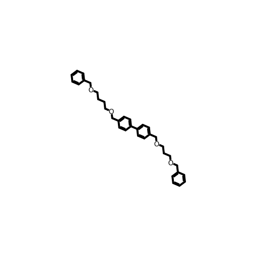 c1ccc(COCCCCOCc2ccc(-c3ccc(COCCCOCc4ccccc4)cc3)cc2)cc1